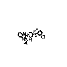 Fc1ccc(Cl)cc1C(F)(F)C1CCN(c2nc3ccccc3nc2NC2CC2)CC1